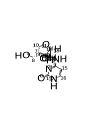 O=c1nc(N[C@@H]2O[C@@]3(CO)CO[C@@H]2[C@@H]3O)cc[nH]1